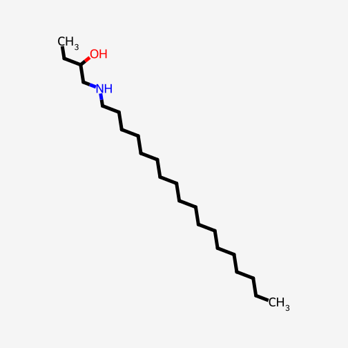 CCCCCCCCCCCCCCCCCCNCC(O)CC